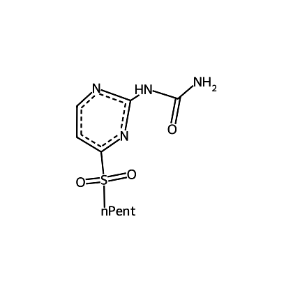 CCCCCS(=O)(=O)c1ccnc(NC(N)=O)n1